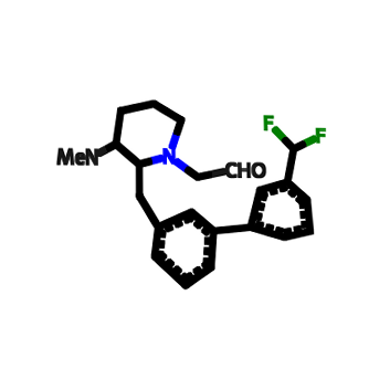 CNC1CCCN(CC=O)C1Cc1cccc(-c2cccc(C(F)F)c2)c1